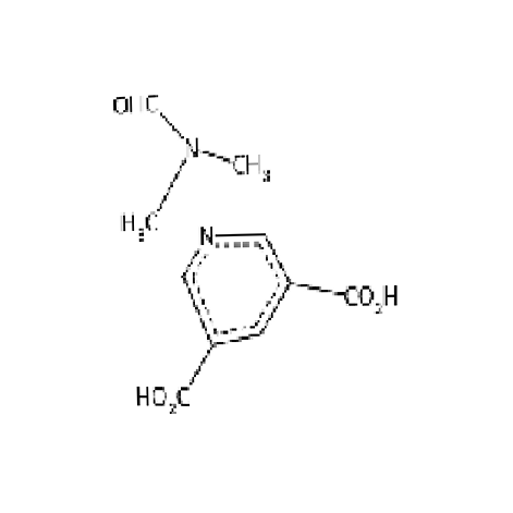 CN(C)C=O.O=C(O)c1cncc(C(=O)O)c1